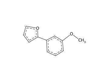 COc1cccc(-c2cc[c]o2)c1